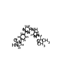 CO[C@@H](C)Cn1cc(Nc2ccnc(-c3ccc(N4CCNC4=O)cc3)n2)cn1